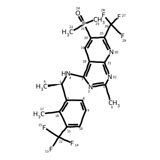 Cc1nc(N[C@H](C)c2cccc(C(F)(F)F)c2C)c2cc(P(C)(C)=O)c(C(F)(F)F)nc2n1